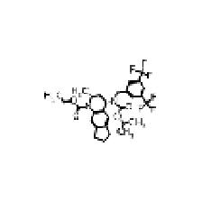 CCOC(=O)N1c2cc3c(cc2[C@@H](N(Cc2cc(C(F)(F)F)cc(C(F)(F)F)c2)C(=O)OC(C)C)C[C@H]1C)CCC3